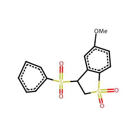 COc1ccc2c(c1)C(S(=O)(=O)c1ccccc1)CS2(=O)=O